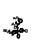 CN1CCCC(CN(C)C(=O)Cn2c(-c3ccc(Cl)cc3)c(C3CCCCC3)c3sc(OC(=O)O)cc32)C1